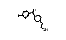 O=C(c1ccc(I)nc1)N1CCN(CCO)CC1